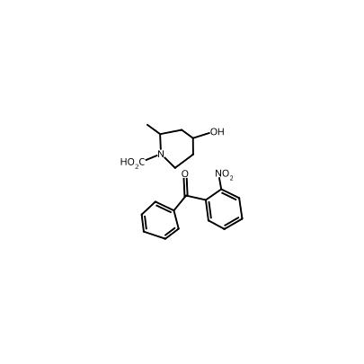 CC1CC(O)CCN1C(=O)O.O=C(c1ccccc1)c1ccccc1[N+](=O)[O-]